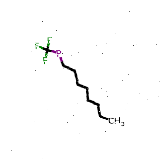 CCCCCCCC[P]C(F)(F)F